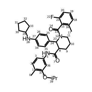 Cc1ccc(NC(=O)C2CCCN(C(=O)c3c(C)cccc3F)C2c2ccc(NC3CCCC3)cc2)cc1OC(C)C